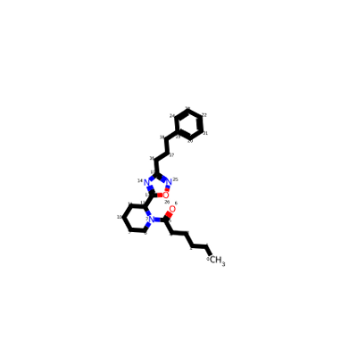 CCCCCC(=O)N1CCCCC1c1nc(CCCc2ccccc2)no1